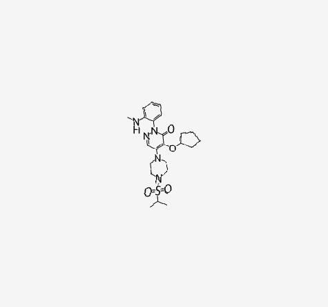 CNc1ccccc1-n1ncc(N2CCN(S(=O)(=O)C(C)C)CC2)c(OC2CCCC2)c1=O